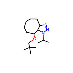 CC(C)N1N=NC2CCCCCC(OCC(C)(C)C)C21